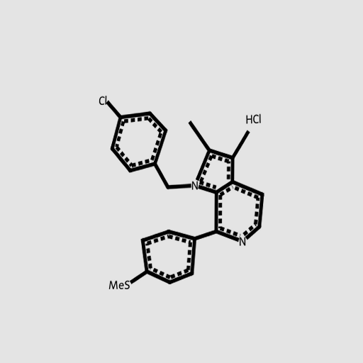 CSc1ccc(-c2nccc3c(C)c(C)n(Cc4ccc(Cl)cc4)c23)cc1.Cl